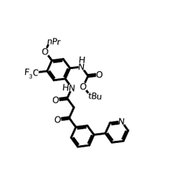 CCCOc1cc(NC(=O)OC(C)(C)C)c(NC(=O)CC(=O)c2cccc(-c3cccnc3)c2)cc1C(F)(F)F